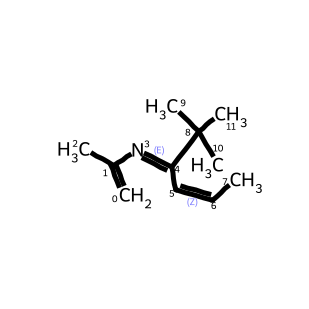 C=C(C)/N=C(\C=C/C)C(C)(C)C